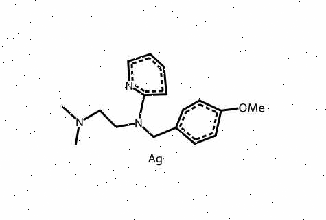 COc1ccc(CN(CCN(C)C)c2ccccn2)cc1.[Ag]